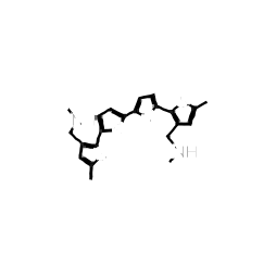 CNCc1cc(C)sc1-c1ccc(-c2ccc(-c3sc(C)cc3CNC)s2)s1